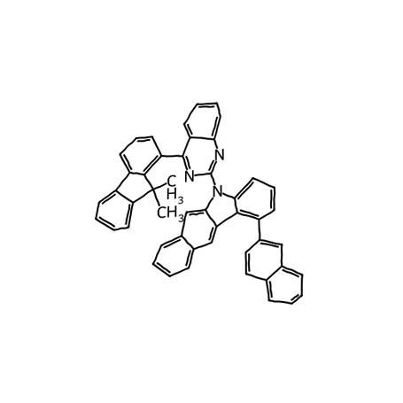 CC1(C)c2ccccc2-c2cccc(-c3nc(-n4c5cc6ccccc6cc5c5c(-c6ccc7ccccc7c6)cccc54)nc4ccccc34)c21